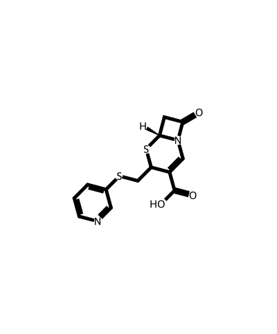 O=C(O)C1=CN2C(=O)C[C@H]2SC1CSc1cccnc1